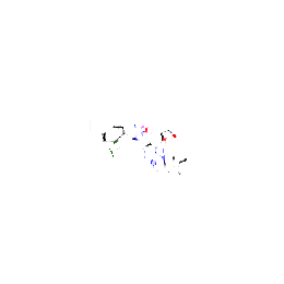 CSc1nc2c(c(-c3ccc(C)o3)n1)C(=O)N(C)/C2=C\c1ccc(F)cc1F